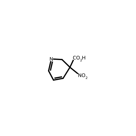 O=C(O)C1([N+](=O)[O-])C=CC=NC1